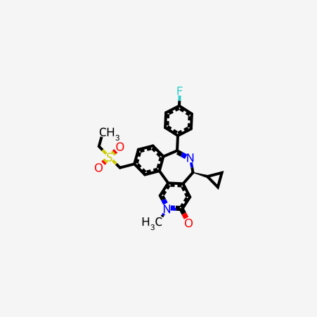 CCS(=O)(=O)Cc1ccc2c(c1)-c1cn(C)c(=O)cc1[C@H](C1CC1)N=C2c1ccc(F)cc1